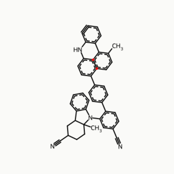 Cc1ccccc1-c1ccc#cc1Nc1ccc(-c2ccc(-c3ccc(C#N)cc3N3c4ccccc4C4CC(C#N)CCC43C)cc2)cc1